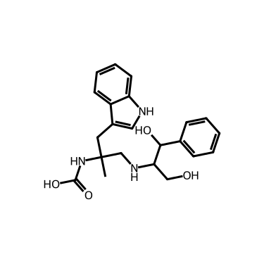 CC(CNC(CO)C(O)c1ccccc1)(Cc1c[nH]c2ccccc12)NC(=O)O